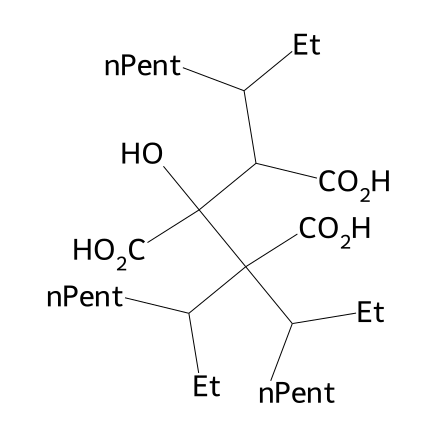 CCCCCC(CC)C(C(=O)O)C(O)(C(=O)O)C(C(=O)O)(C(CC)CCCCC)C(CC)CCCCC